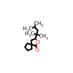 CC(C)CC(C)(C)C1CC2(CCCC2)C(=O)O1